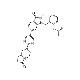 Cn1c(=O)c2ccc(-c3cnc(N4CCN5C(=O)CCC5C4)nc3)cc2n1Cc1ccccc1OC(F)F